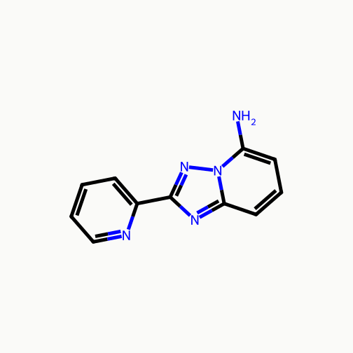 Nc1cccc2nc(-c3ccccn3)nn12